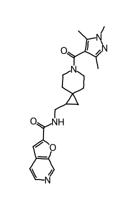 Cc1nn(C)c(C)c1C(=O)N1CCC2(CC1)CC2CNC(=O)c1cc2ccncc2o1